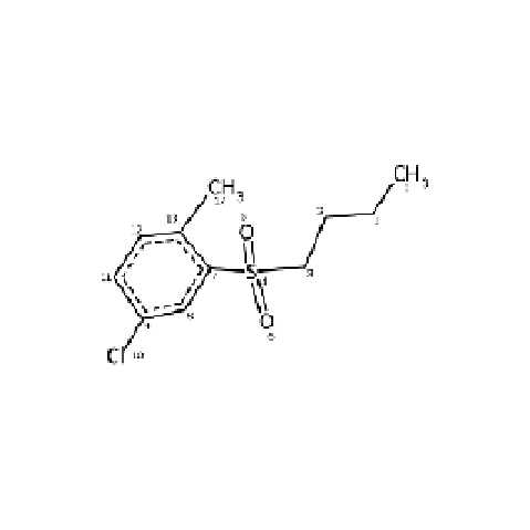 CCCCS(=O)(=O)c1cc(Cl)ccc1C